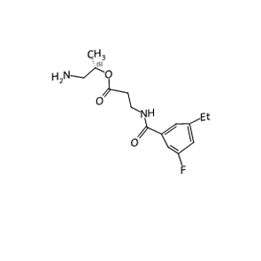 CCc1cc(F)cc(C(=O)NCCC(=O)O[C@@H](C)CN)c1